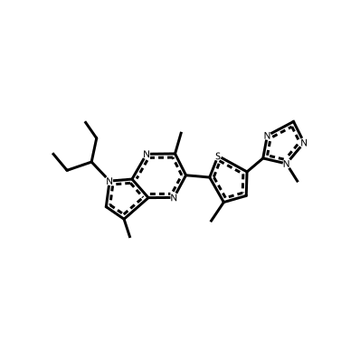 CCC(CC)n1cc(C)c2nc(-c3sc(-c4ncnn4C)cc3C)c(C)nc21